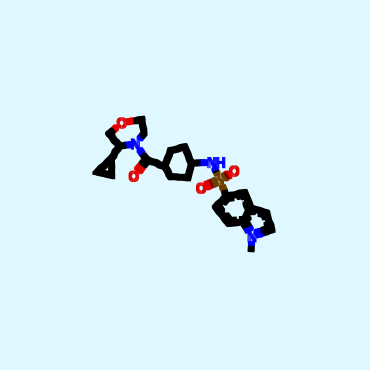 Cn1ccc2cc(S(=O)(=O)NC3CCC(C(=O)N4CCOCC4C4CC4)CC3)ccc21